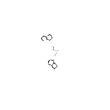 CCN(CCNc1cccc2cc(Cl)ccc12)CCNS(=O)(=O)c1cccc2cccnc12